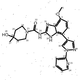 COc1ccc(-c2cnn(-c3ccccn3)c2)c2[nH]c(NC(=O)N3CCC(C)(O)CC3)nc12